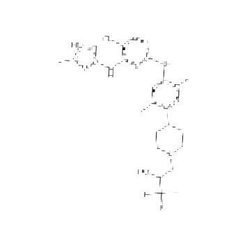 Cc1cc(Nc2nc(Nc3cc(C)c(C4CCN(CC(O)C(F)(F)F)CC4)cc3F)ncc2Cl)n[nH]1